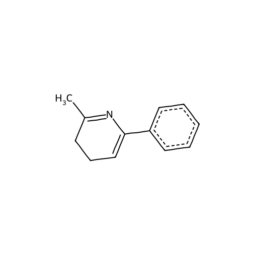 CC1=NC(c2ccccc2)=CCC1